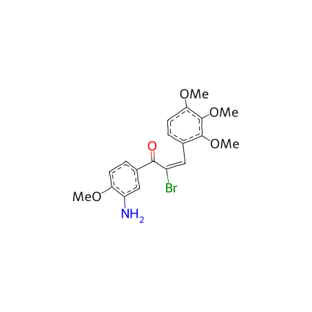 COc1ccc(C(=O)/C(Br)=C\c2ccc(OC)c(OC)c2OC)cc1N